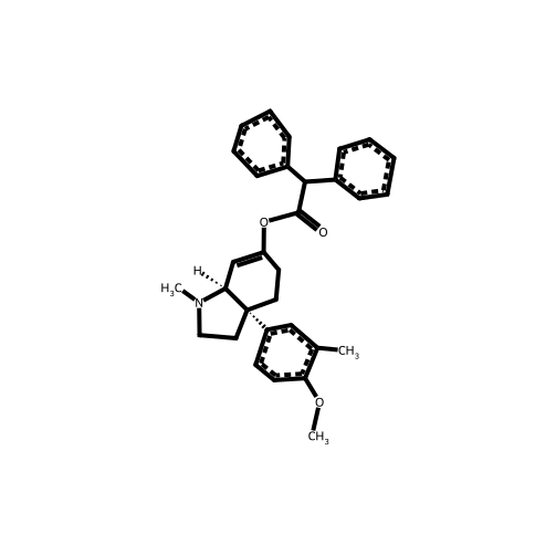 COc1ccc([C@@]23CCC(OC(=O)C(c4ccccc4)c4ccccc4)=C[C@@H]2N(C)CC3)cc1C